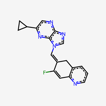 FC1=Cc2ncccc2CC1=Cn1cnc2ncc(C3CC3)nc21